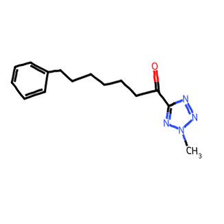 Cn1nnc(C(=O)CCCCCCc2ccccc2)n1